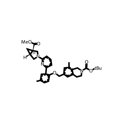 COC(=O)[C@]12C[C@H]1CN(c1cccc(-c3cc(C)ccc3OCc3cc(C)c4c(c3)CCN(C(=O)OC(C)(C)C)C4)n1)C2